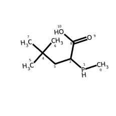 CPC(CC(C)(C)C)C(=O)O